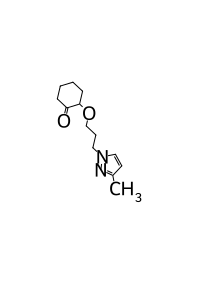 Cc1ccn(CCCOC2CCCCC2=O)n1